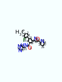 Cc1ccc(-c2cc(C(=O)NCc3cncnc3)cc(C3=NOC(c4ccccn4)C3)c2)c(F)c1